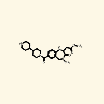 COC(=O)CC1Nc2ccc(C(=O)N3CCC(C4CCNCC4)CC3)cc2CN(C)C1=O